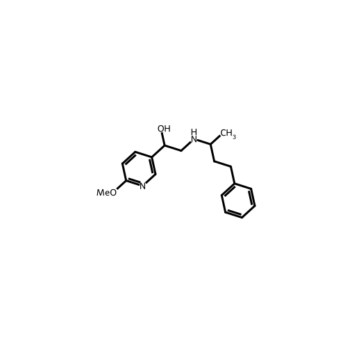 COc1ccc(C(O)CNC(C)CCc2ccccc2)cn1